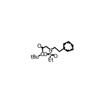 CCS(=O)(=O)N(CCc1ccccc1)CC(=O)OC(C)(C)C